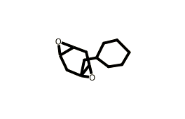 C1CCC(CC23CC4OC4CC2O3)CC1